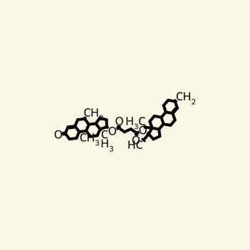 C#CC1(OC(=O)CCC(=O)OC2CCC3C4C(C)CC5=CC(=O)CCC5(C)C4CCC23C)CCC2C3CCC4=CC(=C)CCC4C3CCC21CC